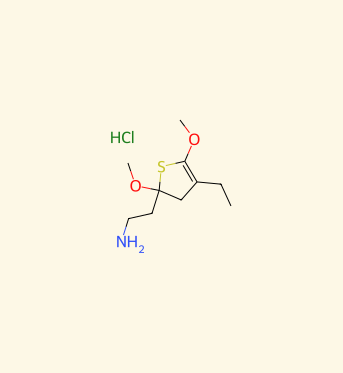 CCC1=C(OC)SC(CCN)(OC)C1.Cl